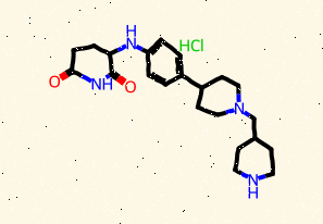 Cl.O=C1CCC(Nc2ccc(C3CCN(CC4CCNCC4)CC3)cc2)C(=O)N1